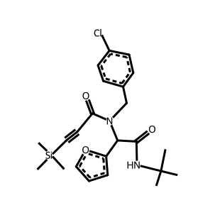 CC(C)(C)NC(=O)C(c1ccco1)N(Cc1ccc(Cl)cc1)C(=O)C#C[Si](C)(C)C